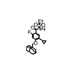 CCS(=O)(=O)NC(=O)c1cc(C2CC2)c(OCC23CC4CC(CC(C4)C2)C3)cc1F